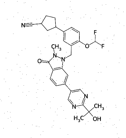 Cn1c(=O)c2ccc(-c3cnc(C(C)(C)O)nc3)cc2n1Cc1cc(C2CCC(C#N)C2)ccc1OC(F)F